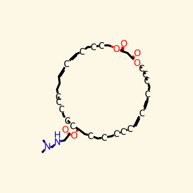 CN(C)CNCC(=O)OC1CCCCCCCC/C=C\C/C=C\CCCCCOC(=O)CC(=O)OCCCCC/C=C\C/C=C\CCCCCCCC1